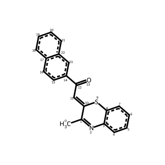 CC1=Nc2ccccc2SC1=CC(=O)c1ccc2ccccc2c1